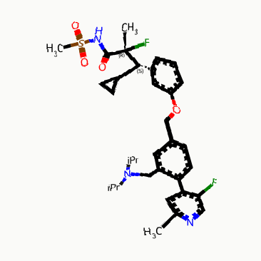 Cc1cc(-c2ccc(COc3cccc([C@H](C4CC4)[C@@](C)(F)C(=O)NS(C)(=O)=O)c3)cc2CN(C(C)C)C(C)C)c(F)cn1